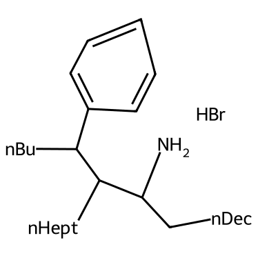 Br.CCCCCCCCCCCC(N)C(CCCCCCC)C(CCCC)c1ccccc1